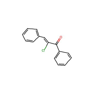 O=C(C(Cl)=Cc1ccccc1)c1ccccc1